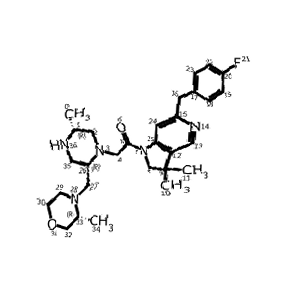 C[C@@H]1CN(CC(=O)N2CC(C)(C)c3cnc(Cc4ccc(F)cc4)cc32)[C@@H](CN2CCOC[C@H]2C)CN1